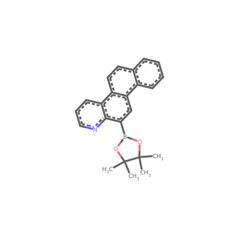 CC1(C)OB(c2cc3c4ccccc4ccc3c3cccnc23)OC1(C)C